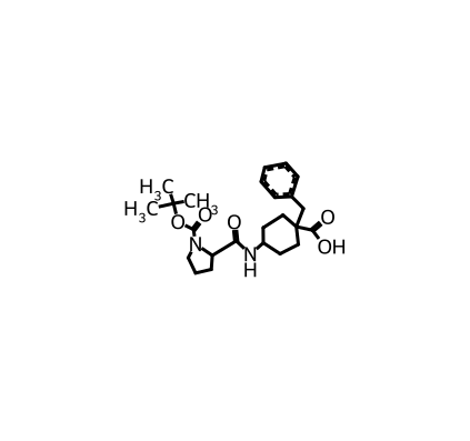 CC(C)(C)OC(=O)N1CCCC1C(=O)NC1CCC(Cc2ccccc2)(C(=O)O)CC1